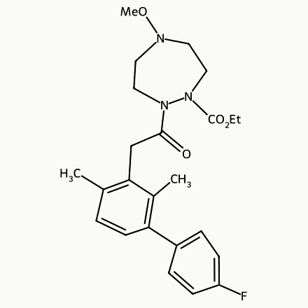 CCOC(=O)N1CCN(OC)CCN1C(=O)Cc1c(C)ccc(-c2ccc(F)cc2)c1C